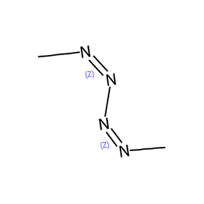 C/N=N\N=N/C